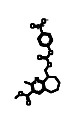 COC(=O)c1cc2c(nc1C)C(COC(=O)Oc1ccc([N+](=O)[O-])cc1)CCCC2